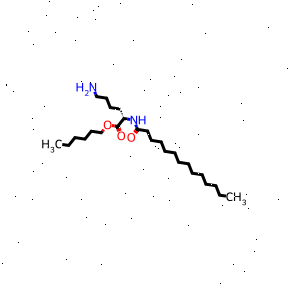 CCCCCCCCCCCCCC(=O)N[C@@H](CCCCN)C(=O)OCCCCCC